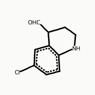 O=CC1CCNc2ccc(Cl)cc21